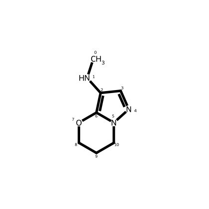 CNc1cnn2c1OCCC2